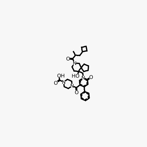 CC(CC1CCC1)C(=O)N1CCC(O)(Cn2cc(C(=O)N3CCN(C(=O)O)CC3)c(-c3ccccc3)cc2=O)C2(CCCC2)C1